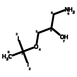 CC(I)(I)OCC(O)CN